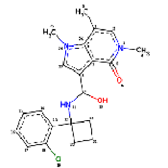 Cc1cn(C)c(=O)c2c(C(O)NC3(c4ccccc4Cl)CCC3)cn(C)c12